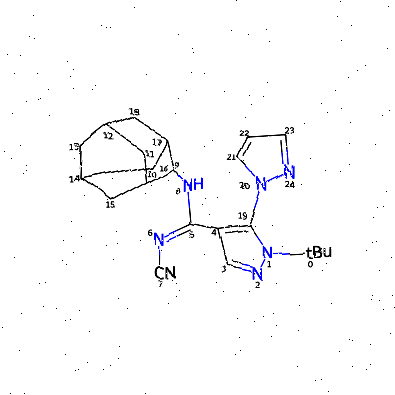 CC(C)(C)n1ncc(C(=NC#N)NC2C3CC4CC(C3)CC2C4)c1-n1cccn1